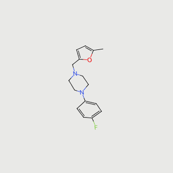 Cc1ccc(CN2CCN(c3ccc(F)cc3)CC2)o1